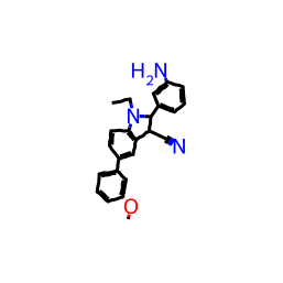 CCN1c2ccc(-c3cccc(OC)c3)cc2C(C#N)C1c1cccc(N)c1